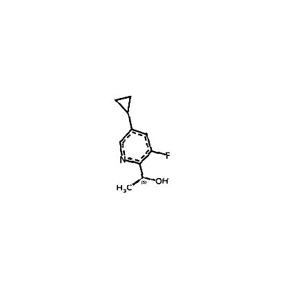 C[C@H](O)c1ncc(C2CC2)cc1F